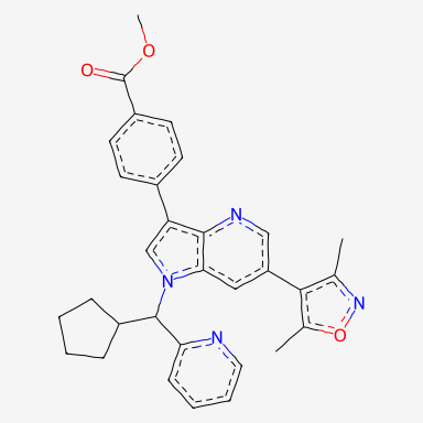 COC(=O)c1ccc(-c2cn(C(c3ccccn3)C3CCCC3)c3cc(-c4c(C)noc4C)cnc23)cc1